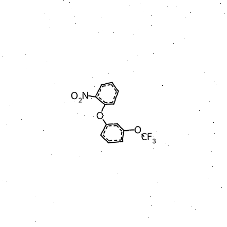 O=[N+]([O-])c1ccccc1Oc1cccc(OC(F)(F)F)c1